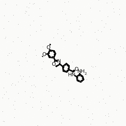 COc1ccc(C2=NC(c3ccc(C(=O)Nc4ccccc4N)cc3)CO2)cc1OC